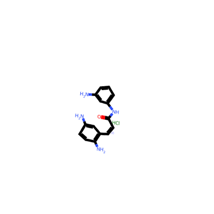 Cl.Nc1cccc(NC(=O)/C=C\c2cc(N)ccc2N)c1